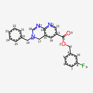 O=C(OCc1cccc(F)c1)c1cnc2c(c1)CN(Cc1ccccc1)C=N2